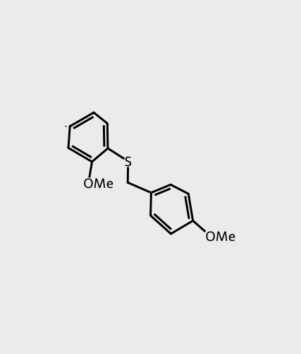 COc1ccc(CSc2cc[c]cc2OC)cc1